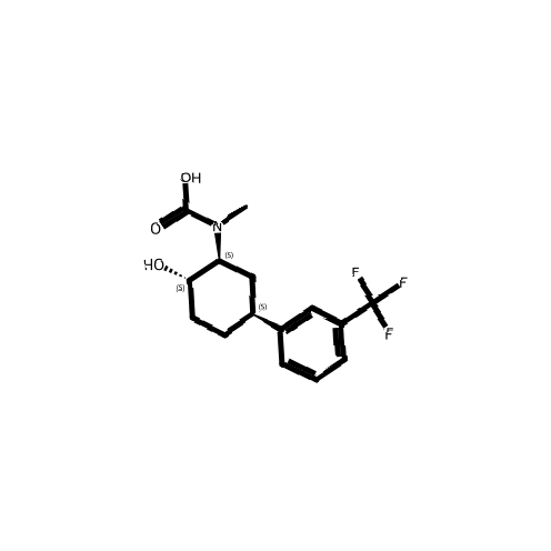 CN(C(=O)O)[C@H]1C[C@@H](c2cccc(C(F)(F)F)c2)CC[C@@H]1O